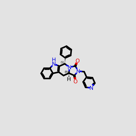 O=C1[C@H]2Cc3c([nH]c4ccccc34)[C@H](c3ccccc3)N2C(=O)N1Cc1ccncc1